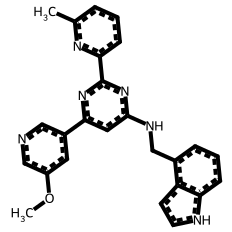 COc1cncc(-c2cc(NCc3cccc4[nH]ccc34)nc(-c3cccc(C)n3)n2)c1